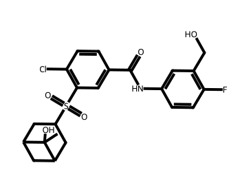 CC1(O)C2CC1CC(S(=O)(=O)c1cc(C(=O)Nc3ccc(F)c(CO)c3)ccc1Cl)C2